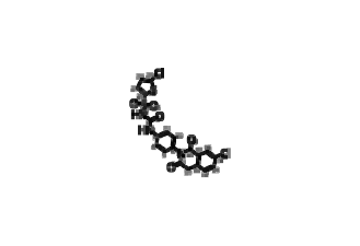 O=C(Nc1ccc(N2C(=O)Cc3ccc(Cl)cc3C2=O)cc1)NS(=O)(=O)c1ccc(Cl)s1